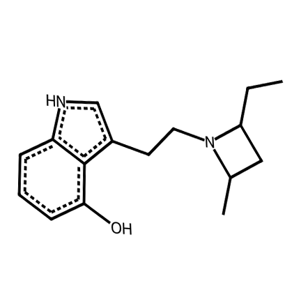 CCC1CC(C)N1CCc1c[nH]c2cccc(O)c12